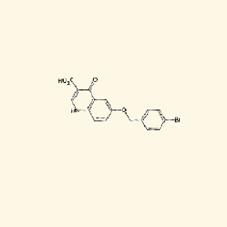 O=C(O)c1c[nH]c2ccc(OCc3ccc(Br)cc3)cc2c1=O